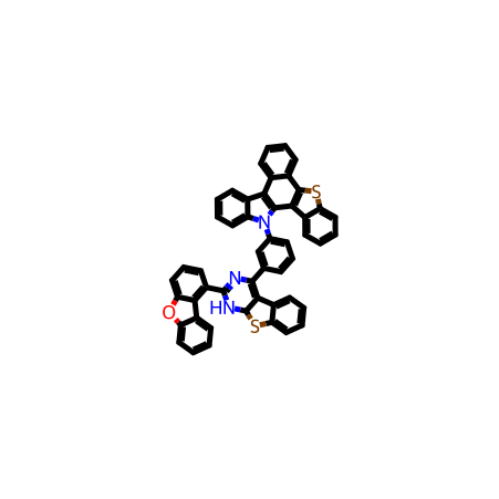 c1cc(C2=C3c4ccccc4SC3NC(c3cccc4oc5ccccc5c34)=N2)cc(-n2c3ccccc3c3c4ccccc4c4sc5ccccc5c4c32)c1